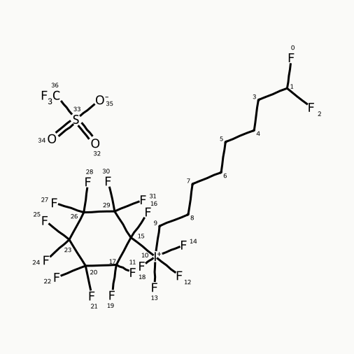 FC(F)CCCCCCC[I+](F)(F)(F)(F)C1(F)C(F)(F)C(F)(F)C(F)(F)C(F)(F)C1(F)F.O=S(=O)([O-])C(F)(F)F